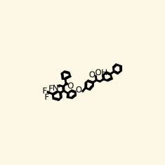 O=C(c1ccccc1)c1cnc2c(C(F)(F)F)cccc2c1-c1cccc(OCc2ccc(C(Cc3ccc(-c4ccccc4)cc3)C(=O)O)cc2)c1